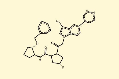 CC(=O)c1cn(CC(=O)N2C[C@H](F)CC2C(=O)N[C@H]2CCC[C@@H]2OCc2ccccc2)c2ccc(-c3ccnnc3)cc12